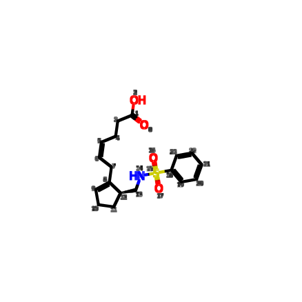 O=C(O)CC/C=C\CC1=CCC[C@@H]1CNS(=O)(=O)c1ccccc1